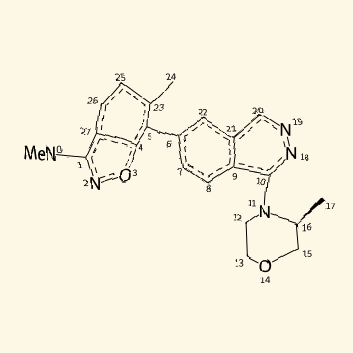 CNc1noc2c(-c3ccc4c(N5CCOC[C@@H]5C)nncc4c3)c(C)ccc12